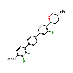 CCCC1CCC(c2ccc(-c3ccc(-c4ccc(OC)c(F)c4F)cc3)cc2F)OC1